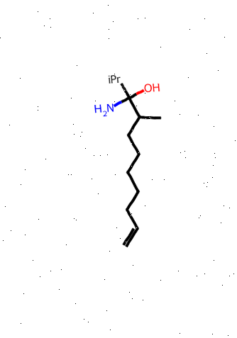 C=CCCCCCC(C)C(N)(O)C(C)C